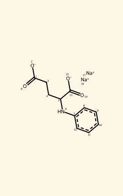 O=C([O-])CCC(Nc1ccccc1)C(=O)[O-].[Na+].[Na+]